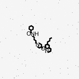 CCCCc1cc(OC2CCN(CCCCCNC(=O)C3CCCCC3)CC2)c2ncccc2c1